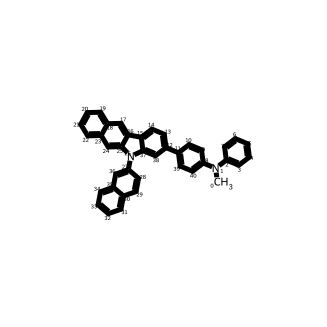 CN(c1ccccc1)c1ccc(-c2ccc3c4cc5ccccc5cc4n(-c4ccc5ccccc5c4)c3c2)cc1